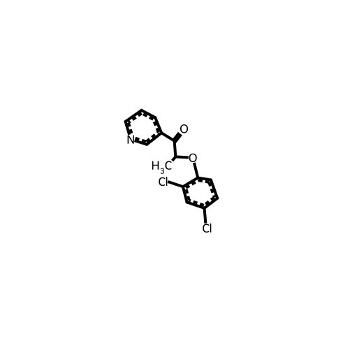 CC(Oc1ccc(Cl)cc1Cl)C(=O)c1cccnc1